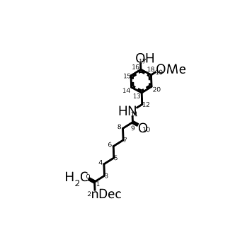 C=C(CCCCCCCCCC)CCCCCCC(=O)NCc1ccc(O)c(OC)c1